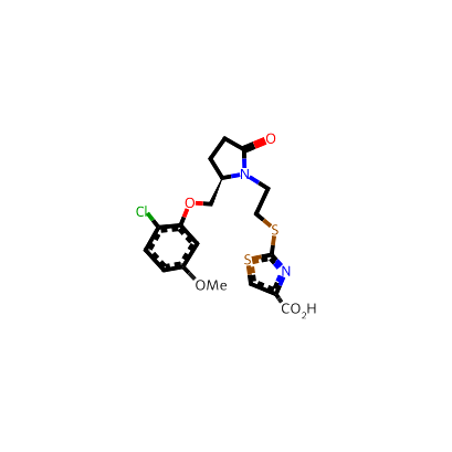 COc1ccc(Cl)c(OC[C@H]2CCC(=O)N2CCSc2nc(C(=O)O)cs2)c1